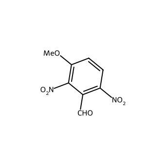 COc1ccc([N+](=O)[O-])c(C=O)c1[N+](=O)[O-]